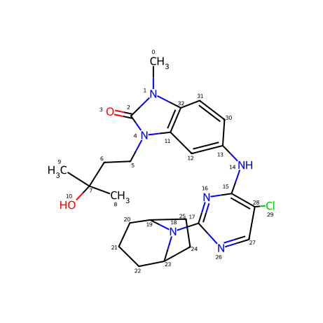 Cn1c(=O)n(CCC(C)(C)O)c2cc(Nc3nc(N4C5CCCC4CC5)ncc3Cl)ccc21